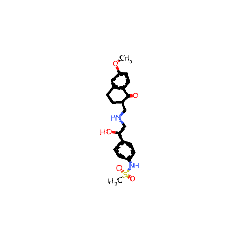 COc1ccc2c(c1)CCC(CNCC(O)c1ccc(NS(C)(=O)=O)cc1)C2=O